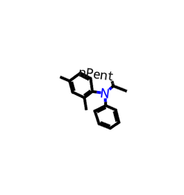 CCCCCC(C)N(c1ccccc1)c1ccc(C)cc1C